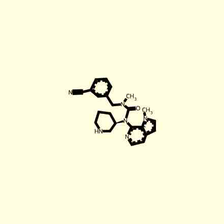 CN(Cc1cccc(C#N)c1)C(=O)N(c1nccc2ccn(C)c12)[C@@H]1CCCNC1